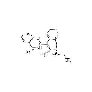 CC(=O)[C@@H](NC(=O)C1=C(C)N(NCC(F)(F)F)Cc2ccccc21)c1ccccc1